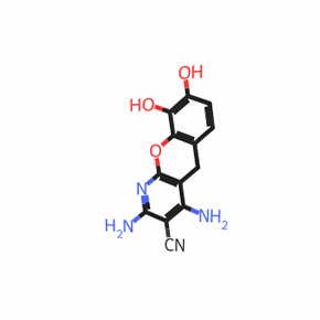 N#Cc1c(N)nc2c(c1N)Cc1ccc(O)c(O)c1O2